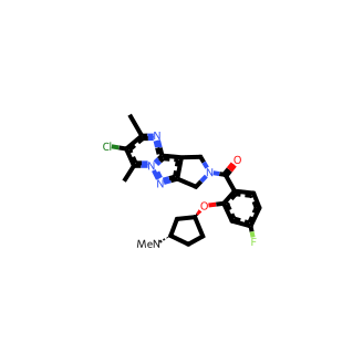 CN[C@H]1CC[C@H](Oc2cc(F)ccc2C(=O)N2Cc3nn4c(C)c(Cl)c(C)nc4c3C2)C1